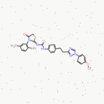 CCCc1ccc(C)cc1N1C(=O)CSC1=NC(=O)Nc1ccc(CCc2ncn(-c3ccc(OC(F)(F)F)cc3)n2)cc1